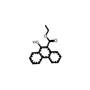 CCOC(=O)c1c(O)c2ccccc2c2ccccc12